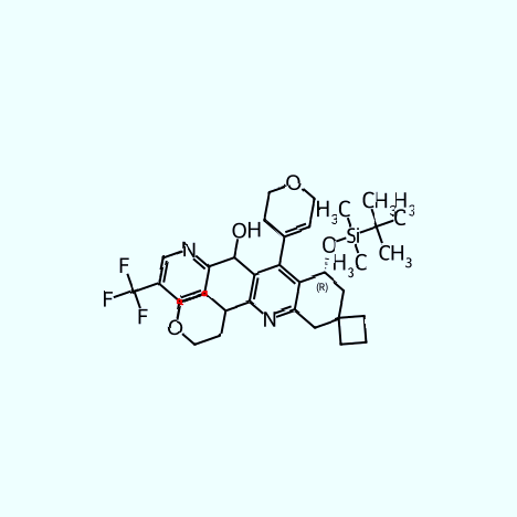 CC(C)(C)[Si](C)(C)O[C@@H]1CC2(CCC2)Cc2nc(C3CCOCC3)c(C(O)c3ccc(C(F)(F)F)cn3)c(C3=CCOCC3)c21